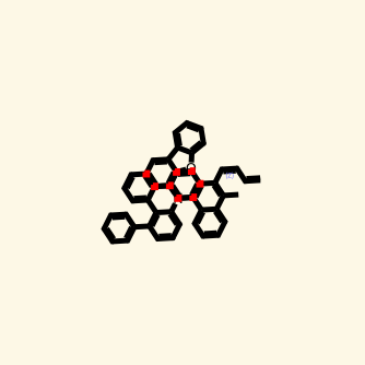 C=C/C=C\c1cc(N(c2cccc(-c3ccccc3)c2-c2ccccc2-c2ccccc2)c2cccc3c2oc2ccccc23)c2ccccc2c1C